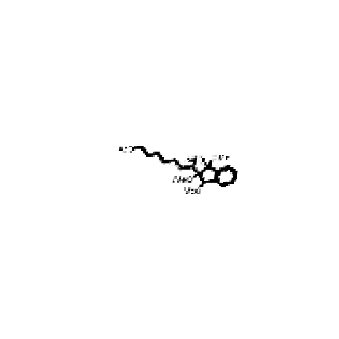 COC1c2ccccc2C(OC)(OC)C1(OC)C(C)CCCCCCOC(C)=O